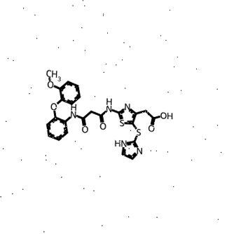 COc1ccccc1Oc1ccccc1NC(=O)CC(=O)Nc1nc(CC(=O)O)c(Sc2ncc[nH]2)s1